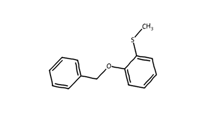 CSc1ccccc1OCc1ccccc1